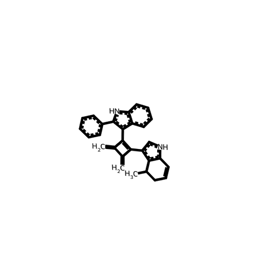 C=C1C(=C)C(c2c(-c3ccccc3)[nH]c3ccccc23)=C1c1c[nH]c2c1C(C)CC=C2